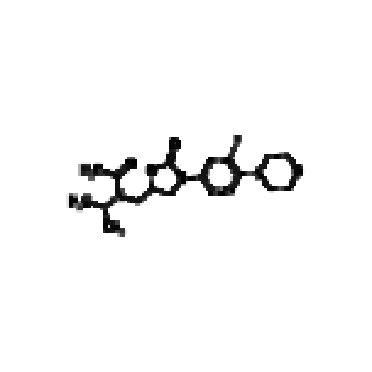 CC(=O)N(CC1CN(c2ccc(N3CCOCC3)c(F)c2)C(=O)O1)C(C)C